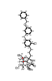 CCOP(=O)(OCC)C(F)(F)C(O)C(CCCc1ccc(Sc2cccc(OCc3ccccc3)c2)cc1Cl)(NC(=O)OC(C)(C)C)O[Si](C)(C)C(C)(C)C